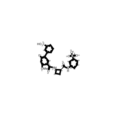 COc1cc(F)c(-c2cccc(C(=O)O)c2)cc1C(=O)N[C@@H]1CC[C@@H]1C(=O)Nc1cccc(S(=O)(=O)C(F)(F)F)c1